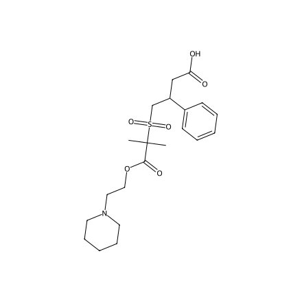 CC(C)(C(=O)OCCN1CCCCC1)S(=O)(=O)CC(CC(=O)O)c1ccccc1